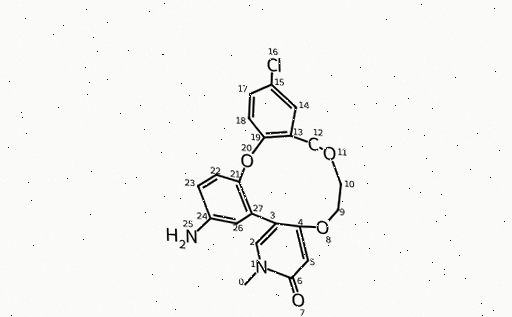 Cn1cc2c(cc1=O)OCCOCc1cc(Cl)ccc1Oc1ccc(N)cc1-2